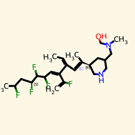 C=C(F)C(=CC(F)C(F)[C@@H](F)CC(C)F)C(=CC)/C=C(\C)[C@@H]1CNCC(CN(C)CO)C1